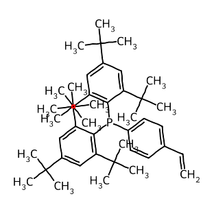 C=Cc1ccc(P(c2c(C(C)(C)C)cc(C(C)(C)C)cc2C(C)(C)C)c2c(C(C)(C)C)cc(C(C)(C)C)cc2C(C)(C)C)cc1